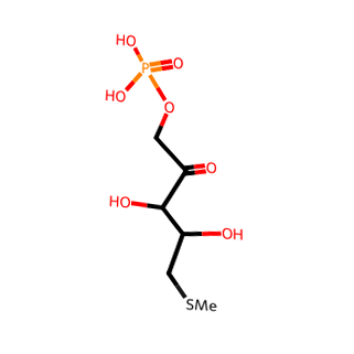 CSCC(O)C(O)C(=O)COP(=O)(O)O